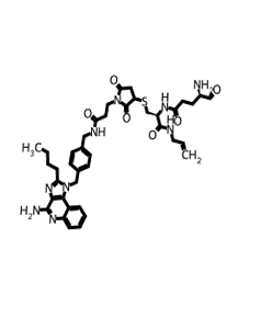 C=CCNC(=O)[C@@H](CSC1CC(=O)N(CCC(=O)NCc2ccc(Cn3c(CCCC)nc4c(N)nc5ccccc5c43)cc2)C1=O)NC(=O)CC[C@@H](N)C=O